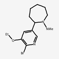 CCOc1cc(C2CCCCCN2NC)cnc1Br